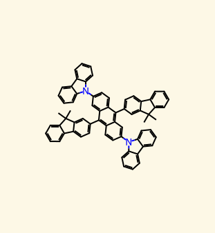 CC1(C)c2ccccc2-c2ccc(-c3c4ccc(-n5c6ccccc6c6ccccc65)cc4c(-c4ccc5c(c4)C(C)(C)c4ccccc4-5)c4ccc(-n5c6ccccc6c6ccccc65)cc34)cc21